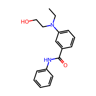 CCN(CCO)c1cccc(C(=O)Nc2ccccc2)c1